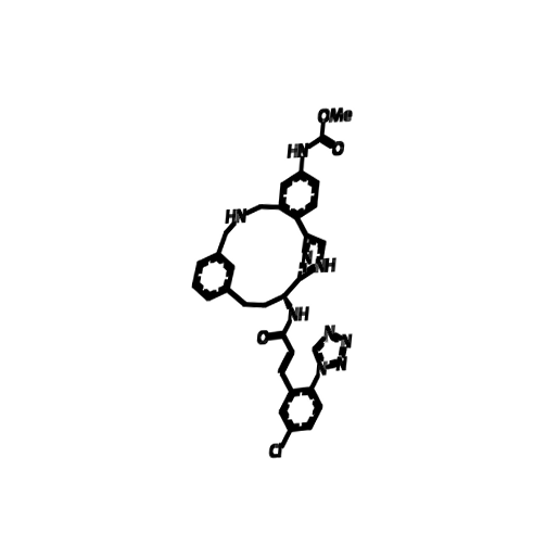 COC(=O)Nc1ccc2c(c1)CNCc1cccc(c1)CC[C@H](NC(=O)/C=C/c1cc(Cl)ccc1-n1cnnn1)c1nc-2c[nH]1